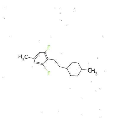 Cc1cc(F)c(CCC2CCC(C)CC2)c(F)c1